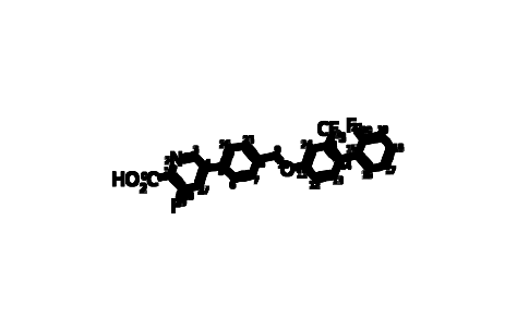 O=C(O)c1ncc(-c2ccc(COc3ccc(-c4ccccc4F)c(C(F)(F)F)c3)cc2)cc1F